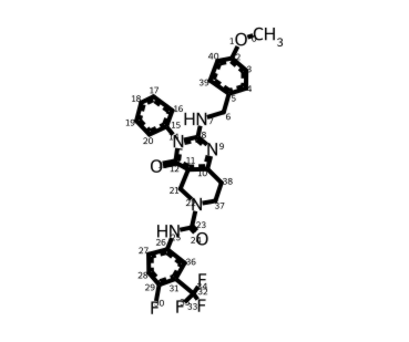 COc1ccc(CNc2nc3c(c(=O)n2-c2ccccc2)CN(C(=O)Nc2ccc(F)c(C(F)(F)F)c2)CC3)cc1